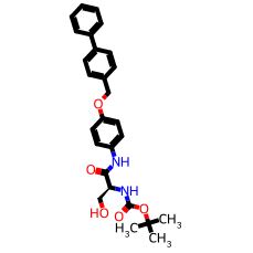 CC(C)(C)OC(=O)N[C@@H](CO)C(=O)Nc1ccc(OCc2ccc(-c3ccccc3)cc2)cc1